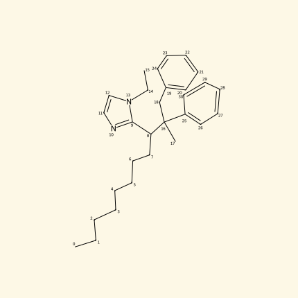 CCCCCCCCC(c1nccn1CC)C(C)(Cc1ccccc1)c1ccccc1